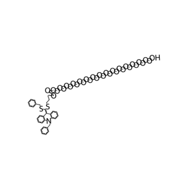 O=S(=O)(CCCSC(SCc1ccccc1)=C1c2ccccc2N(Cc2ccccc2)c2ccccc21)OOOOOOOOOOOOOOOOOOOOOOOOOOOOOOO